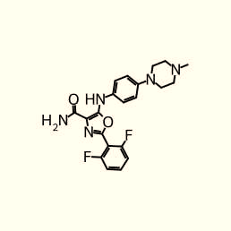 CN1CCN(c2ccc(Nc3oc(-c4c(F)cccc4F)nc3C(N)=O)cc2)CC1